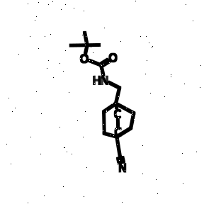 CC(C)(C)OC(=O)NCC12CCC(C#N)(CC1)CC2